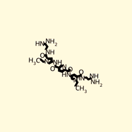 CCCn1cc(NC(=O)c2ccc(C(=O)Nc3cc(C(=O)NCCC(=N)N)n(CCC)c3)nc2)cc1C(=O)NCCC(=N)N